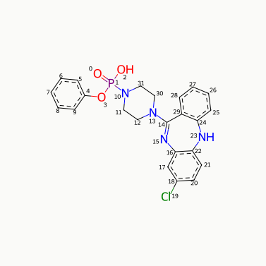 O=P(O)(Oc1ccccc1)N1CCN(C2=Nc3cc(Cl)ccc3Nc3ccccc32)CC1